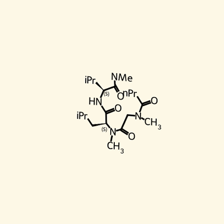 CCCC(=O)N(C)CC(=O)N(C)[C@@H](CC(C)C)C(=O)N[C@H](C(=O)NC)C(C)C